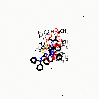 COC(OC)C(COC(C)=O)=C(C(=O)OC(C)(C)C)N1C(=O)C(NC(c2ccccc2)(c2ccccc2)c2ccccc2)C1[S][Hg][S]C1C(NC(c2ccccc2)(c2ccccc2)c2ccccc2)C(=O)N1C(C(=O)OC(C)(C)C)=C(COC(C)=O)C(OC)OC